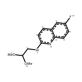 COC(C[Se]c1ccc2cc(F)ccc2n1)OC